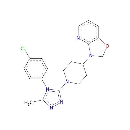 Cc1nnc(N2CCC(N3COc4cccnc43)CC2)n1-c1ccc(Cl)cc1